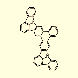 c1ccc2c(c1)c1cc3c(cc1c1cc4c5cccc6c7ccccc7n(c4cc21)c65)c1cccc2c4ccccc4n3c21